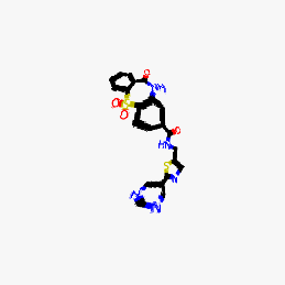 O=C(NCc1cnc(-c2cncnc2)s1)c1ccc2c(c1)NC(=O)c1ccccc1S2(=O)=O